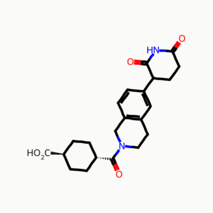 O=C1CCC(c2ccc3c(c2)CCN(C(=O)[C@H]2CC[C@H](C(=O)O)CC2)C3)C(=O)N1